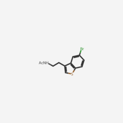 CC(=O)NCCc1csc2ccc(Br)cc12